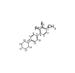 Cc1ccc(-c2ccc(C3CCCCC3)cc2)c(F)c1F